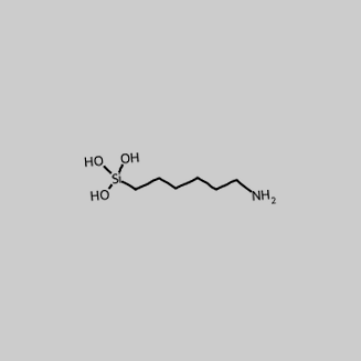 NCCCCCC[Si](O)(O)O